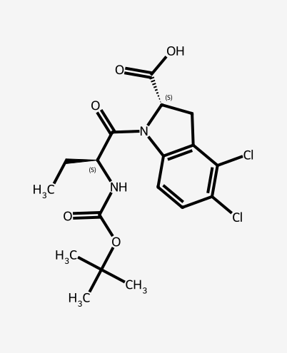 CC[C@H](NC(=O)OC(C)(C)C)C(=O)N1c2ccc(Cl)c(Cl)c2C[C@H]1C(=O)O